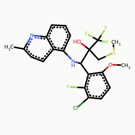 COc1ccc(Cl)c(F)c1C(Nc1cccc2nc(C)ccc12)C(O)(CSC)C(F)(F)F